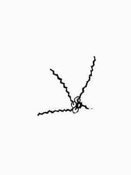 [CH2]CCc1cc(OCCCCCCCCCCCCCCCC)c(OCCCCCCCCCCCCCCCC)c(OCCCCCCCCCCCCCCCC)c1